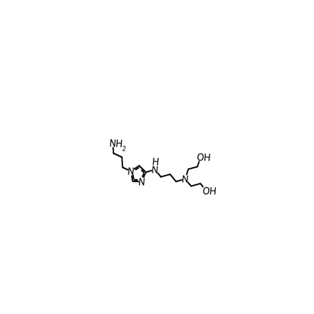 NCCCn1cnc(NCCCN(CCO)CCO)c1